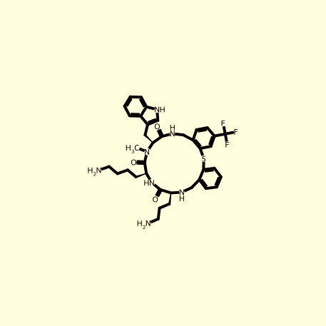 CN1C(=O)[C@H](CCCCN)NC(=O)[C@H](CCCN)NCc2ccccc2Sc2cc(C(F)(F)F)ccc2CNC(=O)[C@@H]1Cc1c[nH]c2ccccc12